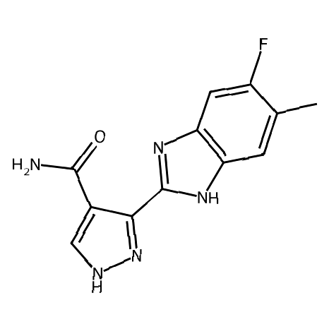 Cc1cc2[nH]c(-c3n[nH]cc3C(N)=O)nc2cc1F